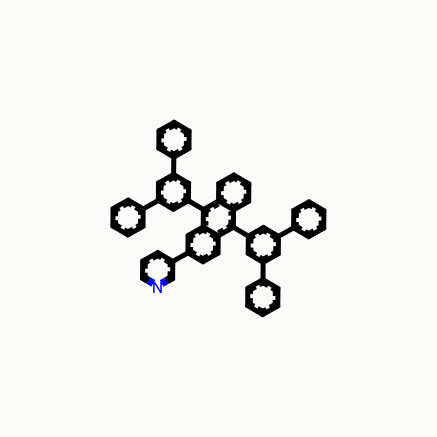 c1ccc(-c2cc(-c3ccccc3)cc(-c3c4ccccc4c(-c4cc(-c5ccccc5)cc(-c5ccccc5)c4)c4cc(-c5cccnc5)ccc34)c2)cc1